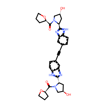 O=C([C@H]1CCCO1)N1C[C@H](O)C[C@H]1c1nc2cc(C#Cc3ccc4[nH]c([C@@H]5C[C@@H](O)CN5C(=O)[C@H]5CCCO5)nc4c3)ccc2[nH]1